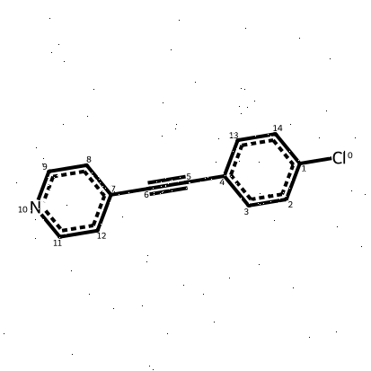 Clc1ccc(C#Cc2ccncc2)cc1